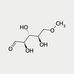 COC[C@@H](O)[C@@H](O)[C@@H](O)C=O